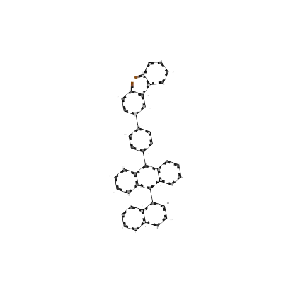 c1ccc2c(-c3c4ccccc4c(-c4ccc(-c5ccc6sc7ccccc7c6c5)cc4)c4ccccc34)cccc2c1